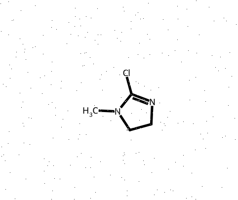 CN1[CH]CN=C1Cl